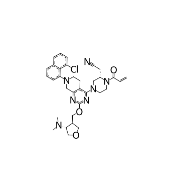 C=CC(=O)N1CCN(c2nc(OC[C@H]3COC[C@@H]3N(C)C)nc3c2CCN(c2cccc4cccc(Cl)c24)C3)C[C@@H]1CC#N